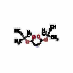 C#CC(C)(C)OC(=O)/C=C\C(=O)OC(C)(C)C#C